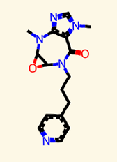 CN1c2ncn(C)c2C(=O)N(CCCc2ccncc2)C2OC21